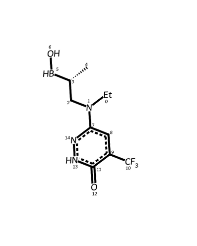 CCN(C[C@@H](C)BO)c1cc(C(F)(F)F)c(=O)[nH]n1